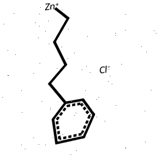 [Cl-].[Zn+][CH2]CCCc1ccccc1